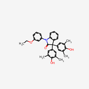 CCOc1cccc(N2C(=O)C(c3cc(C)c(O)c(C)c3)(c3cc(C)c(O)c(C)c3)c3ccccc32)c1